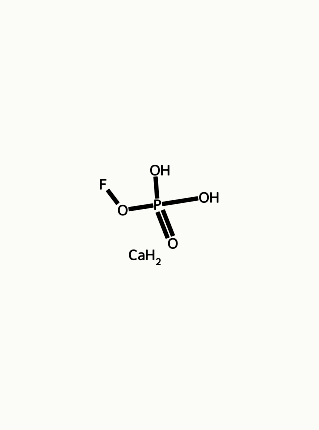 O=P(O)(O)OF.[CaH2]